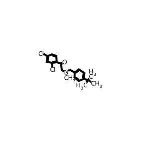 CN(CC(=O)c1ccc(Cl)cc1Cl)Cc1ccc(C(C)(C)C)cc1